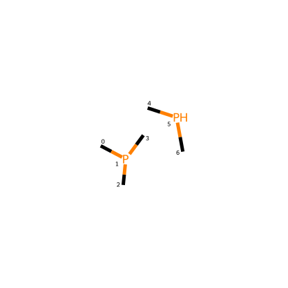 CP(C)C.CPC